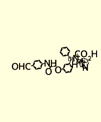 O=Cc1ccc(NC(=O)COc2cccc([C@H](c3ccccc3)N(C(=O)O)[C@H]3CN4CCC3CC4)c2)cc1